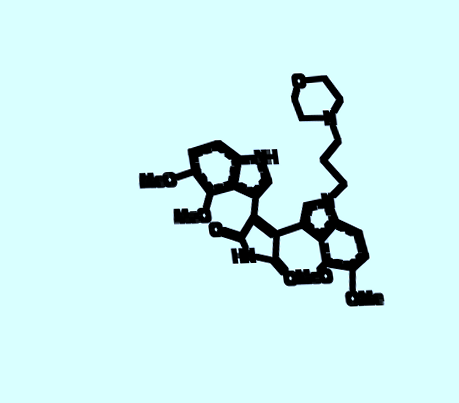 COc1ccc2[nH]cc(C3=C(c4cn(CCCN5CCOCC5)c5ccc(OC)c(OC)c45)C(=O)NC3=O)c2c1OC